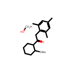 COC1CCCCC1C(=O)Cc1c(C)cc(C)cc1C.O=C(O)O